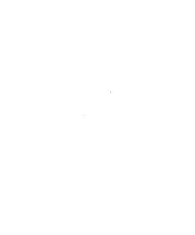 CC1(N=C=O)CCN(C(=O)OC(C)(C)C)CC1